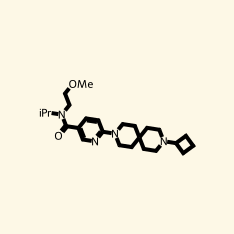 COCCN(C(=O)c1ccc(N2CCC3(CC2)CCN(C2CCC2)CC3)nc1)C(C)C